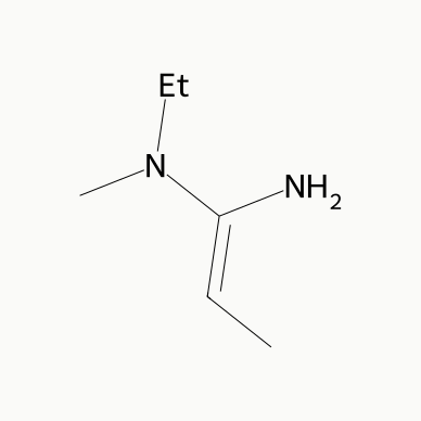 C/C=C(\N)N(C)CC